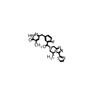 Cc1cc(Cc2ccc(F)c(C(=O)N3Cc4nnc(-c5nccs5)n4C(C)C3)c2)n[nH]c1=O